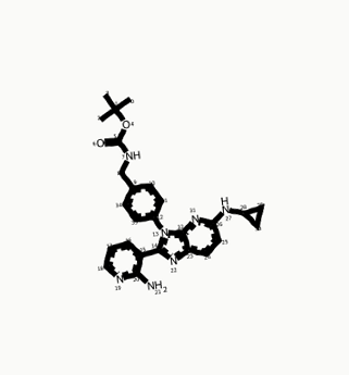 CC(C)(C)OC(=O)NCc1ccc(-n2c(-c3cccnc3N)nc3ccc(NC4CC4)nc32)cc1